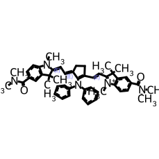 CN(C)C(=O)c1ccc2c(c1)C(C)(C)C(/C=C/C1=C(N(c3ccccc3)c3ccccc3)C(=C/C=C3/N(C)c4ccc(C(=O)N(C)C)cc4C3(C)C)/CC1)=[N+]2C